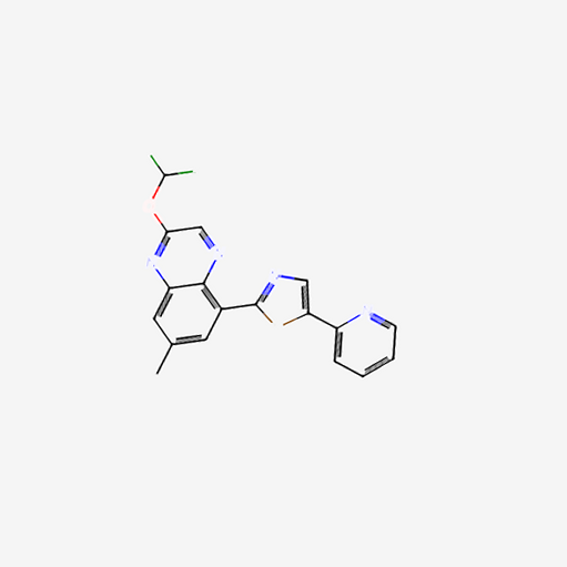 Cc1cc(-c2ncc(-c3ccccn3)s2)c2ncc(OC(F)F)nc2c1